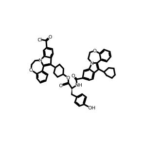 O=C(Cl)c1ccc2c(C3CCC(OC(=O)[C@H](Cc4ccc(O)cc4)NC(=O)c4ccc5c(C6CCCCC6)c6n(c5c4)CCOc4ccccc4-6)CC3)c3n(c2c1)CCOc1ccccc1-3